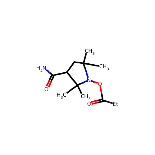 CCC(=O)ON1C(C)(C)CC(C(N)=O)C1(C)C